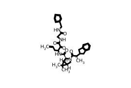 C=CCC(NC(=O)[C@@H]1[C@@H]2[C@H](CN1C(=O)[C@@H](C)C1Cc3ccccc3C1)C2(C)C)C(=O)C(=O)NCC(=O)NCc1ccccc1